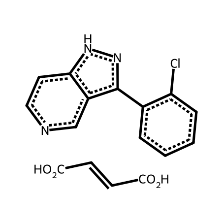 Clc1ccccc1-c1n[nH]c2ccncc12.O=C(O)C=CC(=O)O